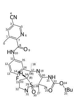 Cc1cc(C#N)cnc1C(=O)Nc1ccc(F)c([C@@]2(C)N=C(NC(=O)OC(C)(C)C)C(C)(C)[S@]3(=O)=NCC[C@H]23)c1